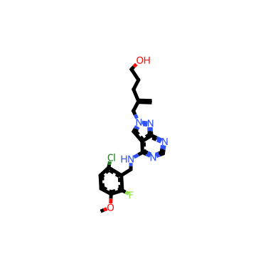 C=C(CCCO)Cn1cc2c(NCc3c(Cl)ccc(OC)c3F)ncnc2n1